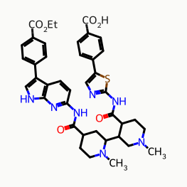 CCOC(=O)c1ccc(-c2c[nH]c3nc(NC(=O)C4CCN(C)C(C5CN(C)CCC5C(=O)Nc5ncc(-c6ccc(C(=O)O)cc6)s5)C4)ccc23)cc1